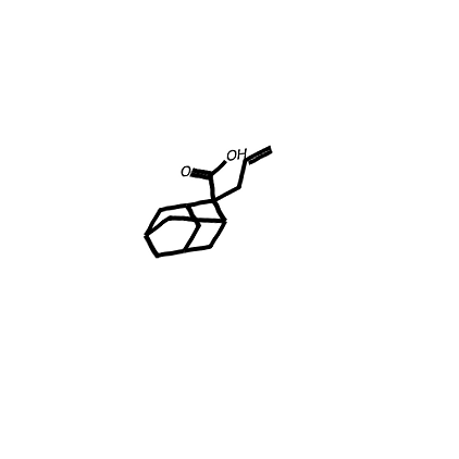 C=CCC1(C(=O)O)C2CC3CC(C2)CC1C3